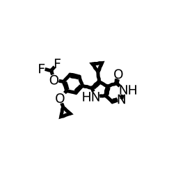 O=c1[nH]ncc2[nH]c(-c3ccc(OC(F)F)c(OC4CC4)c3)c(C3CC3)c12